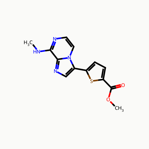 CNc1nccn2c(-c3ccc(C(=O)OC)s3)cnc12